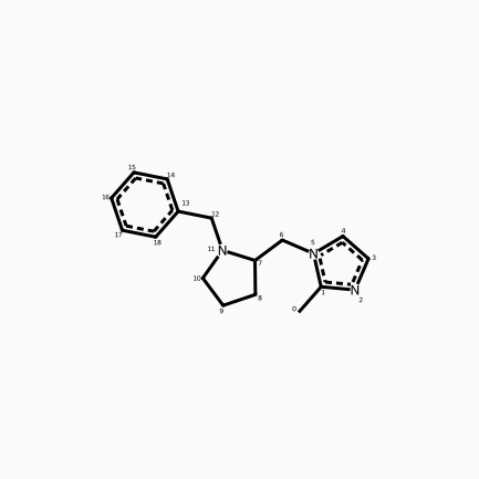 Cc1nccn1CC1CCCN1Cc1ccccc1